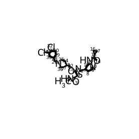 CNC(=O)c1sc(-c2ccnc(NC(=O)C3CC3)c2)nc1OCC1CCN(Cc2ccc(Cl)c(Cl)c2)CC1